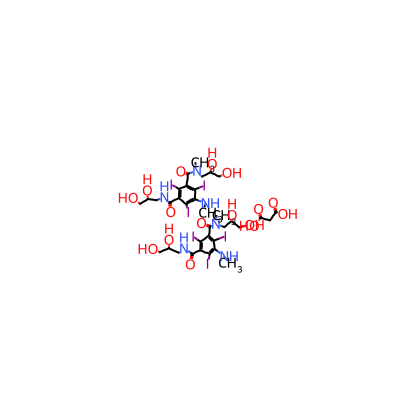 CNc1c(I)c(C(=O)NCC(O)CO)c(I)c(C(=O)N(C)CC(O)CO)c1I.CNc1c(I)c(C(=O)NCC(O)CO)c(I)c(C(=O)N(C)CC(O)CO)c1I.O=C(O)CC(=O)O